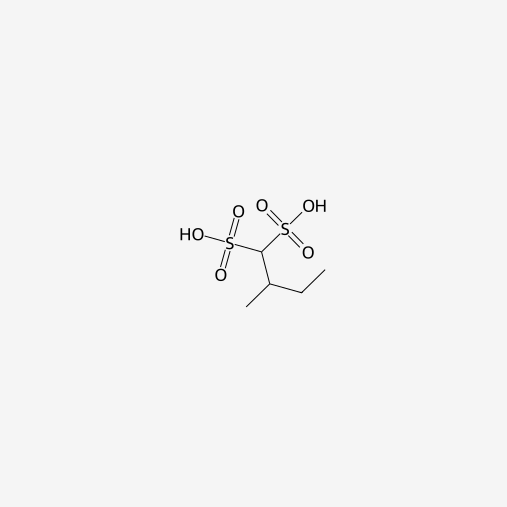 CCC(C)C(S(=O)(=O)O)S(=O)(=O)O